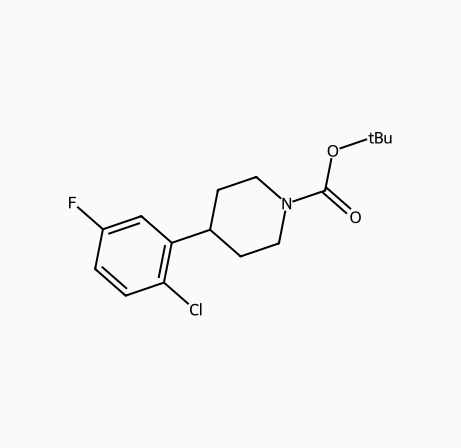 CC(C)(C)OC(=O)N1CCC(c2cc(F)ccc2Cl)CC1